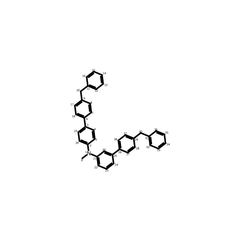 CN(c1ccc(-c2ccc(Cc3ccccc3)cc2)cc1)c1cccc(-c2ccc(Cc3ccccc3)cc2)c1